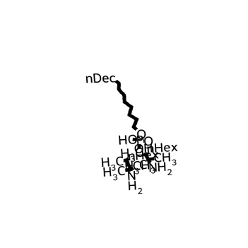 CCCCCCC(C)C(C)(C)N.CCCCCCC(C)C(C)(C)N.CCCCCCCCCCCCCCCCCCOP(=O)(O)O